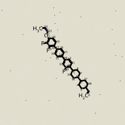 C=CC1CCC(C2CCC(c3ccc(-c4ccc(-c5ccc(O/C=C\C)c(F)c5F)cc4)cc3F)CC2)CC1